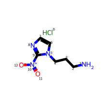 Cl.NCCCn1ccnc1[N+](=O)[O-]